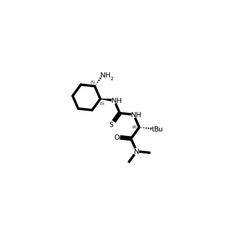 CN(C)C(=O)[C@H](NC(=S)N[C@H]1CCCC[C@@H]1N)C(C)(C)C